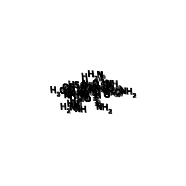 CC(O)C(N)C(=O)NCCN(C(=O)CCS)C(CCCNC(=N)N)C(=O)NCCN(C(=O)CCCCCN)C(Cc1cnc[nH]1)C(=O)NCCN(C(=O)CCc1ccc(N)cc1)C(CCCCN)C(N)=O